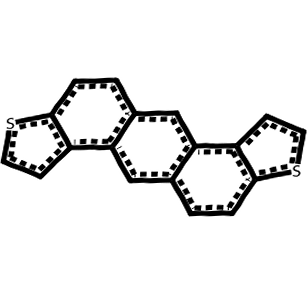 c1cc2c(ccc3cc4c(ccc5sccc54)cc32)s1